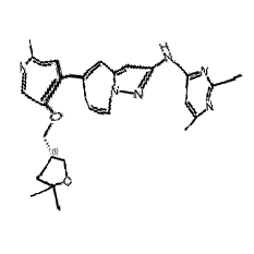 Cc1cc(-c2ccn3nc(Nc4cc(C)nc(C)n4)cc3c2)c(OC[C@@H]2COC(C)(C)C2)cn1